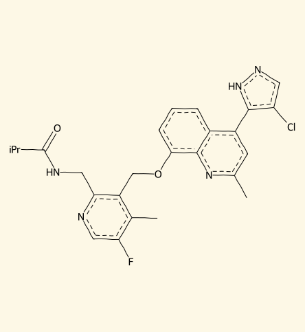 Cc1cc(-c2[nH]ncc2Cl)c2cccc(OCc3c(CNC(=O)C(C)C)ncc(F)c3C)c2n1